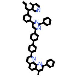 C=C/C=C(/c1cccc(-c2cc(-c3ccc(-c4ccc(-c5ccc6ccc7c(C)cc(-c8ccccc8)nc7c6n5)cc4)cc3)nc(-c3ccccc3)n2)c1)c1cnccc1C